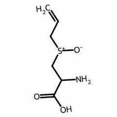 C=CC[S+]([O-])CC(N)C(=O)O